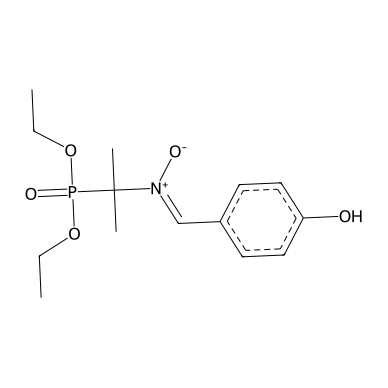 CCOP(=O)(OCC)C(C)(C)[N+]([O-])=Cc1ccc(O)cc1